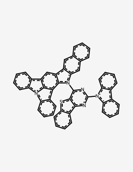 c1ccc2cc3c(cc2c1)c1cc2c4ccccc4n4c5ccccc5c(c1n3-c1nc(-n3c5ccccc5c5ccccc53)nc3c1sc1ccccc13)c24